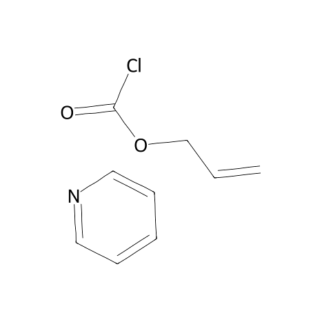 C=CCOC(=O)Cl.c1ccncc1